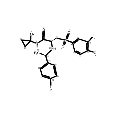 N#CC1(NC(=O)[C@H](CS(=O)(=O)c2ccc(Cl)c(Cl)c2)N[C@@H](c2ccc(F)cc2)C(F)(F)F)CC1